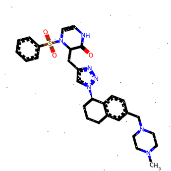 CN1CCN(Cc2ccc3c(c2)CCC[C@H]3n2cc(CC3C(=O)NC=CN3S(=O)(=O)c3ccccc3)nn2)CC1